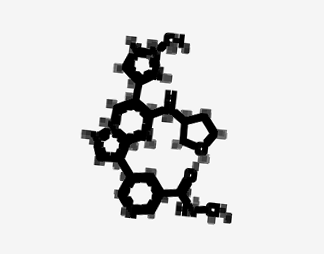 CNC(=O)c1cncc(-c2cnn3cc(-c4cnn(C)n4)c(NC4CCOC4)nc23)c1